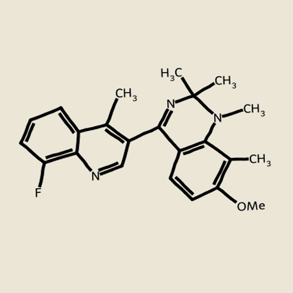 COc1ccc2c(c1C)N(C)C(C)(C)N=C2c1cnc2c(F)cccc2c1C